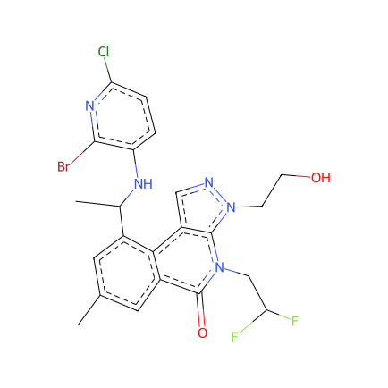 Cc1cc(C(C)Nc2ccc(Cl)nc2Br)c2c(c1)c(=O)n(CC(F)F)c1c2cnn1CCO